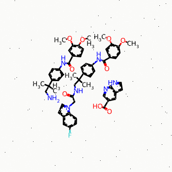 COc1ccc(C(=O)Nc2ccc(C(C)(C)CN)cc2)cc1OC.COc1ccc(C(=O)Nc2ccc(C(C)(C)CNC(=O)Cn3ccc4cc(F)ccc43)cc2)cc1OC.O=C(O)c1cnc2[nH]ccc2c1